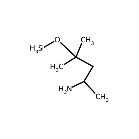 CC(N)CC(C)(C)O[SiH3]